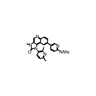 CNc1ccc(-c2ccc3ncc4c(c3c2)n(-c2ccc(C)nc2C)c(=O)n4C)cn1